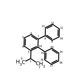 CC(C)c1[c]ccc(-c2ccccc2)c1-c1ccccc1